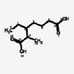 CCC(CCCC(=O)O)C(C)C(=O)O